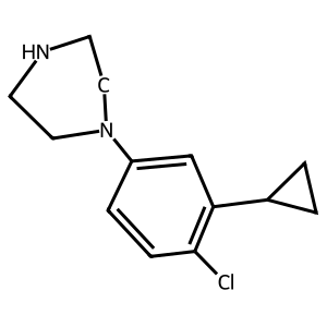 Clc1ccc(N2CCNCC2)cc1C1CC1